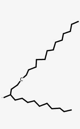 [CH2]C(CCCCCCCCCC)CCCCCCCCCCCCCCCC